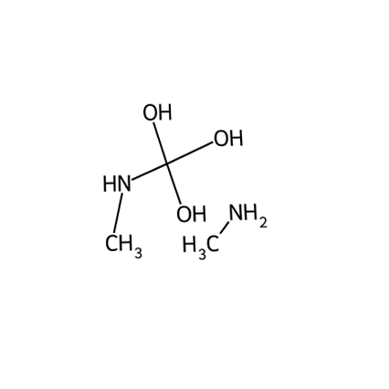 CN.CNC(O)(O)O